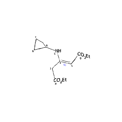 CCOC(=O)/C=C(/CC(=O)OCC)NC1CC1